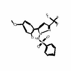 COc1ccc(-c2cc(C(F)(F)F)nn2NS(=O)(=O)c2ccccc2)c(Cl)c1